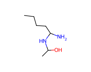 CCCCC(N)NC(C)O